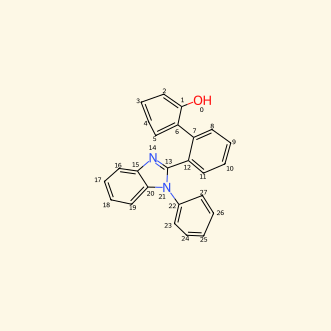 Oc1ccccc1-c1ccccc1-c1nc2ccccc2n1-c1ccccc1